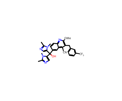 COc1nc2ccc(C(O)(c3cnc(C)n3C)c3cnc(C)n3C)cc2c(C#N)c1Cc1cccc(C(F)(F)F)c1